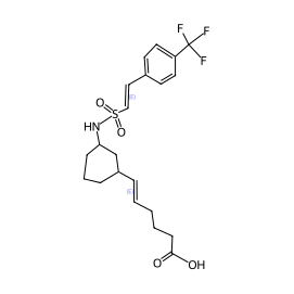 O=C(O)CCC/C=C/C1CCCC(NS(=O)(=O)/C=C/c2ccc(C(F)(F)F)cc2)C1